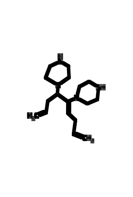 C=CCC=C([C](CC=C)N1CCNCC1)N1CCNCC1